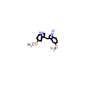 COc1ccc2[nH]cc(Cc3c[nH]c4ccc(OC)cc34)c2c1